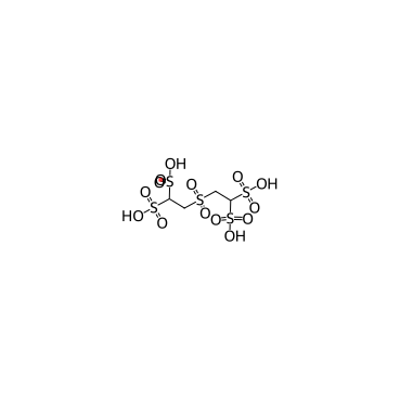 O=S(=O)(CC(S(=O)(=O)O)S(=O)(=O)O)CC(S(=O)(=O)O)S(=O)(=O)O